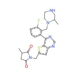 CC1CC(=O)N(Cc2cc3ncnc(-c4cccc(F)c4CN4CCNCC4C)c3s2)C1=O